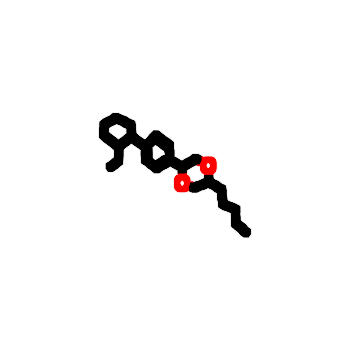 CCCCCC1COC(c2ccc(C3CCCCC3CC)cc2)CO1